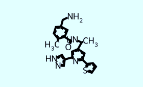 Cc1ccc(CN)cc1C(=O)NC(C)c1cc(-c2cn[nH]c2)nc(-c2cccs2)c1